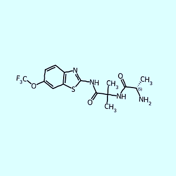 C[C@H](N)C(=O)NC(C)(C)C(=O)Nc1nc2ccc(OC(F)(F)F)cc2s1